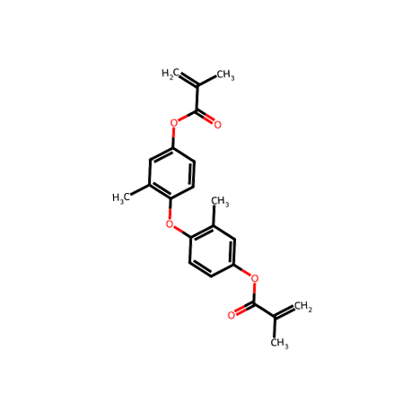 C=C(C)C(=O)Oc1ccc(Oc2ccc(OC(=O)C(=C)C)cc2C)c(C)c1